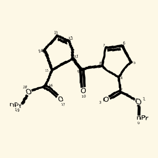 CCCOC(=O)C1CC=CC1C(=O)C1C=CCC1C(=O)OCCC